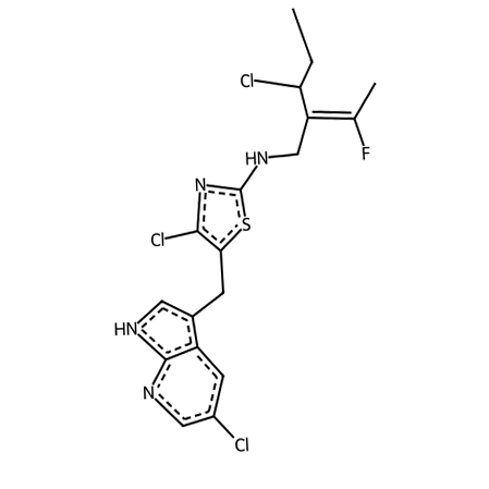 CCC(Cl)/C(CNc1nc(Cl)c(Cc2c[nH]c3ncc(Cl)cc23)s1)=C(\C)F